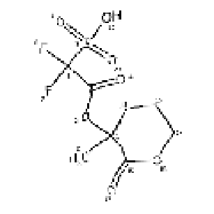 CC1(OC(=O)C(F)(F)S(=O)(=O)O)CCCOC1=O